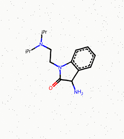 CC(C)N(CCN1C(=O)C(N)c2ccccc21)C(C)C